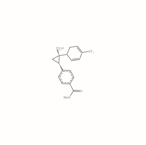 COC(=O)c1ccc([C@H]2C[C@]2(C(=O)O)C2C=CC(C(F)(F)F)=CC2)cc1